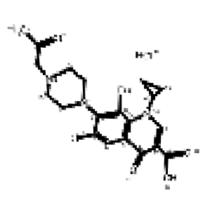 CC(=O)CN1CCN(c2c(Cl)cc3c(=O)c(C(=O)O)cn(C4CC4)c3c2F)CC1.Cl